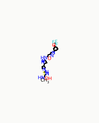 CNC(O)c1nnc(N2CCC(c3ccc(NC(=O)Cc4cn(-c5cccc(OC(F)(F)F)c5)cn4)nn3)C2)s1